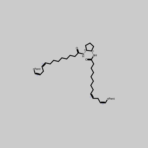 CCCCC/C=C\C/C=C\CCCCCCCC(=O)N[C@H]1CCC[C@H]1NC(=O)CCCCCCC/C=C\C/C=C\CCCCC